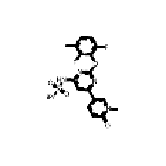 Cc1ccc(F)c(Oc2nc(NS(=O)(=O)C(C)C)cc(-c3ccc(=O)n(C)c3)n2)c1F